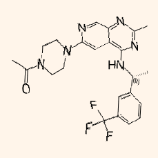 CC(=O)N1CCN(c2cc3c(N[C@H](C)c4cccc(C(F)(F)F)c4)nc(C)nc3cn2)CC1